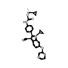 C[C@@H](OC(=O)Nc1ccc(-c2c(C#N)c3ccc(Oc4cnccn4)cc3n2C2CC2)cc1)C1CC1